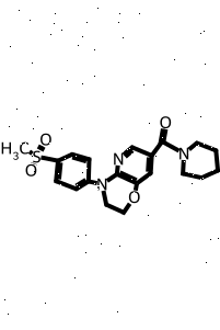 CS(=O)(=O)c1ccc(N2CCOc3cc(C(=O)N4CCCCC4)cnc32)cc1